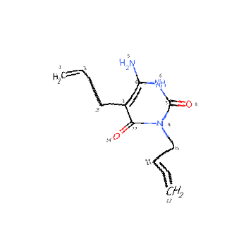 C=CCc1c(N)[nH]c(=O)n(CC=C)c1=O